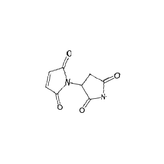 O=C1CC(N2C(=O)C=CC2=O)C(=O)[N]1